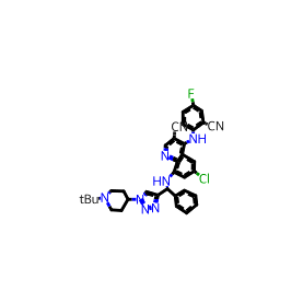 CC(C)(C)N1CCC(n2cc([C@@H](Nc3cc(Cl)cc4c(Nc5ccc(F)cc5C#N)c(C#N)cnc34)c3ccccc3)nn2)CC1